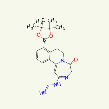 CC1(C)OB(c2cccc3c2CCN2C(=O)CN=C(NC=N)C=C32)OC1(C)C